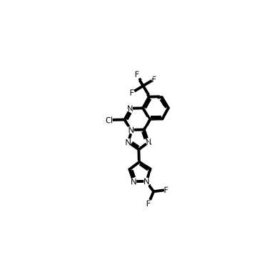 FC(F)n1cc(-c2nc3c4cccc(C(F)(F)F)c4nc(Cl)n3n2)cn1